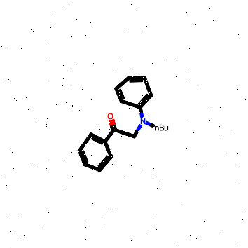 CCCCN(CC(=O)c1ccccc1)c1ccccc1